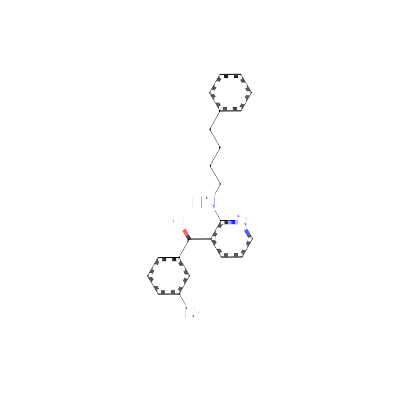 O=C(c1cccc([N+](=O)[O-])c1)c1cccnc1NCCCCc1ccccc1